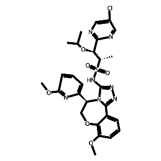 COc1cccc([C@@H]2COc3c(OC)cccc3-c3nnc(NS(=O)(=O)[C@@H](C)[C@@H](OC(C)C)c4ncc(Cl)cn4)n32)n1